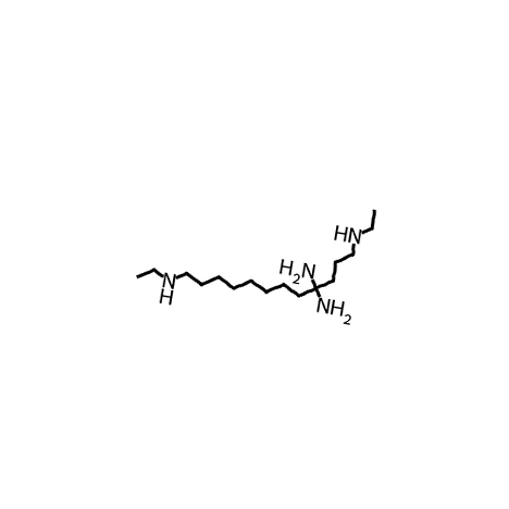 CCNCCCCCCCCC(N)(N)CCCNCC